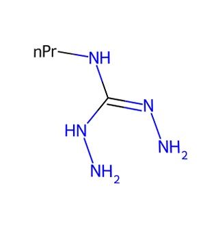 CCCNC(=NN)NN